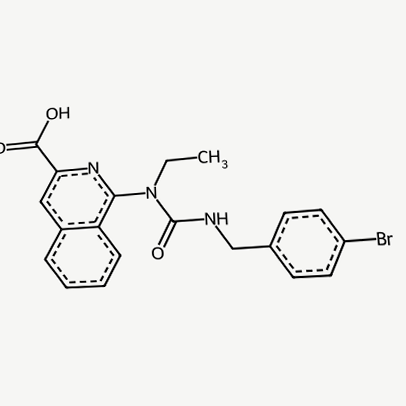 CCN(C(=O)NCc1ccc(Br)cc1)c1nc(C(=O)O)cc2ccccc12